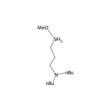 CCCCN(CCCC)CCC[SiH2]OC